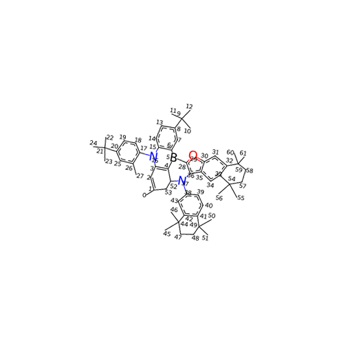 CC1=CC2=C3B(c4cc(C(C)(C)C)ccc4N2c2ccc(C(C)(C)C)cc2C)c2oc4cc5c(cc4c2N(c2ccc4c(c2)C(C)(C)CCC4(C)C)C3C1)C(C)(C)CCC5(C)C